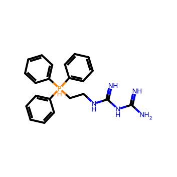 N=C(N)NC(=N)NCC[PH](c1ccccc1)(c1ccccc1)c1ccccc1